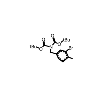 Cc1ccc(CN(C(=O)OC(C)(C)C)C(=O)OC(C)(C)C)cc1Br